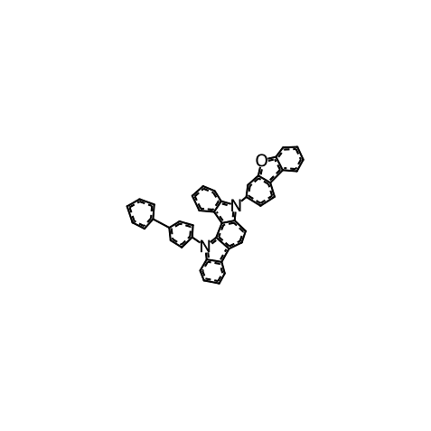 c1ccc(-c2ccc(-n3c4ccccc4c4ccc5c(c6ccccc6n5-c5ccc6c(c5)oc5ccccc56)c43)cc2)cc1